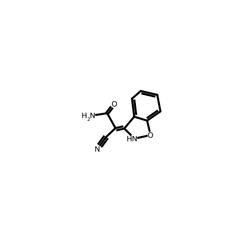 N#CC(C(N)=O)=C1NOc2ccccc21